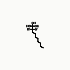 CCCCCCCCC(Br)(Br)C(O)(O)O